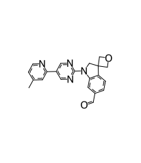 Cc1ccnc(-c2cnc(N3CC4(COC4)c4ccc(C=O)cc43)nc2)c1